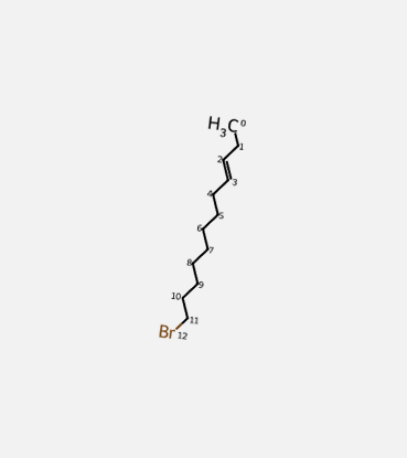 CCC=CCCCCCCCCBr